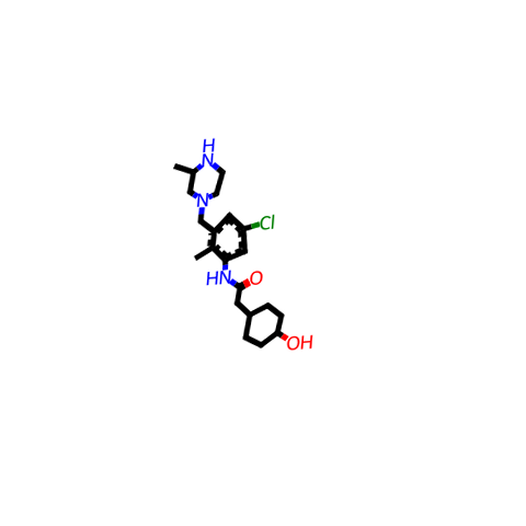 Cc1c(CN2CCNC(C)C2)cc(Cl)cc1NC(=O)CC1CCC(O)CC1